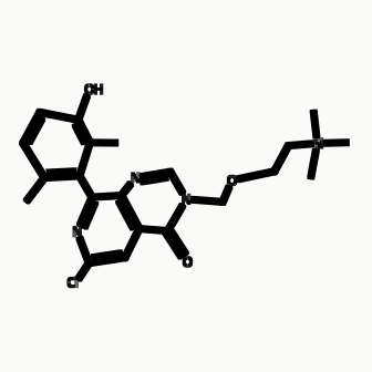 Cc1ccc(O)c(C)c1-c1nc(Cl)cc2c(=O)n(COCC[Si](C)(C)C)cnc12